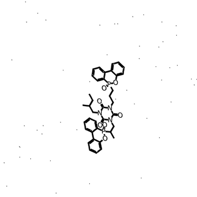 CCC(C)Cn1c(=O)n(CCCP2(=O)Oc3ccccc3-c3ccccc32)c(=O)n(CC(C)P2(=O)Oc3ccccc3-c3ccccc32)c1=O